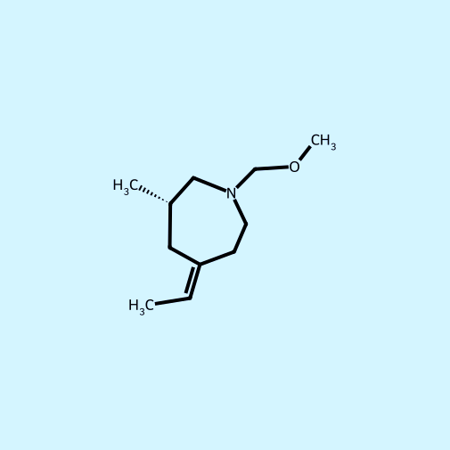 C/C=C1/CCN(COC)C[C@@H](C)C1